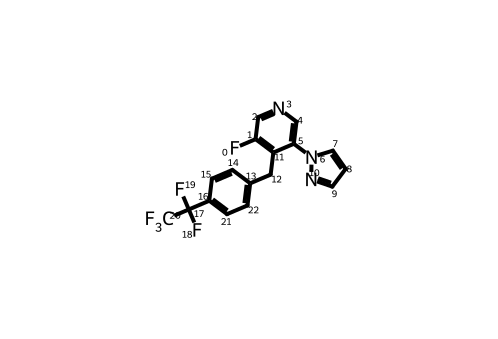 Fc1cncc(-n2cccn2)c1Cc1ccc(C(F)(F)C(F)(F)F)cc1